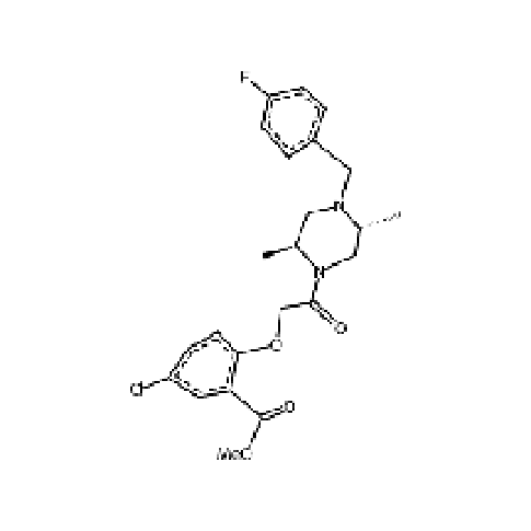 COC(=O)c1cc(Cl)ccc1OCC(=O)N1C[C@@H](C)N(Cc2ccc(F)cc2)C[C@@H]1C